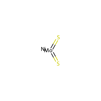 [Ni].[S]=[Mo]=[S]